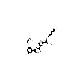 C=CCOc1cc(C(CCC)NC(=O)C2CSC(/C(C)=N/OCCCCO)=N2)oc(=O)c1